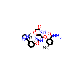 CN1CCN=C1c1cccc(Oc2nc3c(c(Oc4cc(C#N)ccc4C(N)=O)n2)NC(=O)CO3)c1